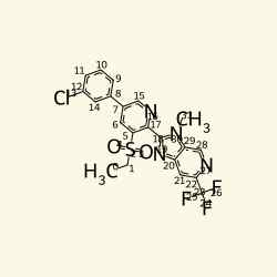 CCS(=O)(=O)c1cc(-c2cccc(Cl)c2)cnc1-c1nc2cc(C(F)(F)F)ncc2n1C